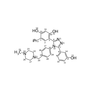 CC(C)c1cc(-c2nnc(-c3cccc(O)c3)n2-c2ccc(CN3CCN(C)CC3)cc2)c(O)cc1O